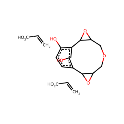 C=CC(=O)O.C=CC(=O)O.Oc1ccc2c(O)c1C1OC1COCC1OC21